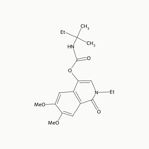 CCn1cc(OC(=O)NC(C)(C)CC)c2cc(OC)c(OC)cc2c1=O